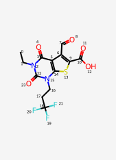 CCn1c(=O)c2c(C=O)c(C(=O)O)sc2n(CCC(F)(F)F)c1=O